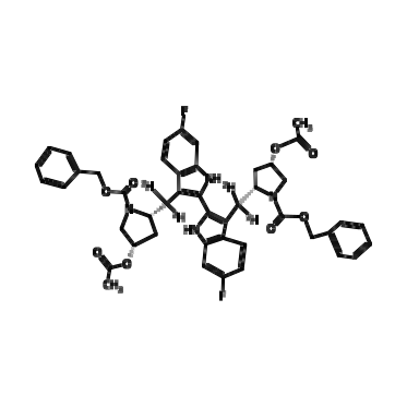 [2H]C([2H])(c1c(-c2[nH]c3cc(F)ccc3c2C([2H])([2H])[C@@H]2C[C@H](OC(C)=O)CN2C(=O)OCc2ccccc2)[nH]c2cc(F)ccc12)[C@@H]1C[C@H](OC(C)=O)CN1C(=O)OCc1ccccc1